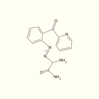 NC(=O)C(N)/N=N/c1ccccc1C(=O)c1ccccn1